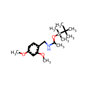 COc1ccc(CNC(C)O[Si](C)(C)C(C)(C)C)c(OC)c1